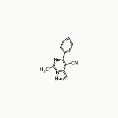 Cc1nc(-c2ccccc2)c(C#N)c2ccnn12